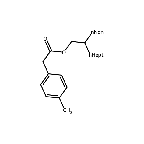 CCCCCCCCCC(CCCCCCC)COC(=O)Cc1ccc(C)cc1